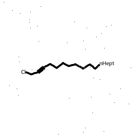 CCCCCCCCCCCCCCCC#CCCl